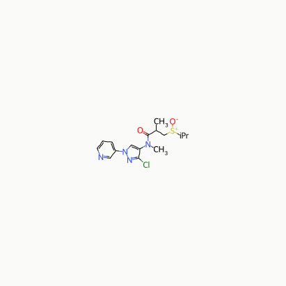 CC(C[S+]([O-])C(C)C)C(=O)N(C)c1cn(-c2cccnc2)nc1Cl